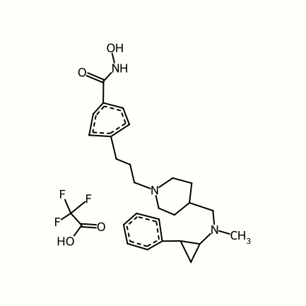 CN(CC1CCN(CCCc2ccc(C(=O)NO)cc2)CC1)C1CC1c1ccccc1.O=C(O)C(F)(F)F